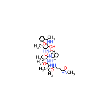 CCCC(NC(=O)[C@@H]1[C@H]2CCC[C@H]2CN1C(=O)[C@@H](NC(=O)[C@@H](NC(=O)CCCCC(=O)NC)C(C)C)C(C)C)C(O)C(=O)N[C@@H](C)c1ccccc1